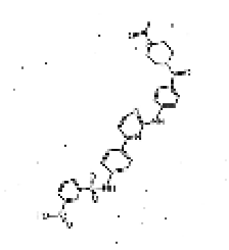 CC(=O)N1CCN(C(=O)c2ccc(Nc3nccc(-c4ccc(NS(=O)(=O)c5cccc([N+](=O)O)c5)cc4)n3)cc2)CC1